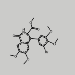 COC(=O)c1[nH]c(=O)c2cc(OC)c(OC)cc2c1-c1cc(Br)c(OC)c(OC)c1